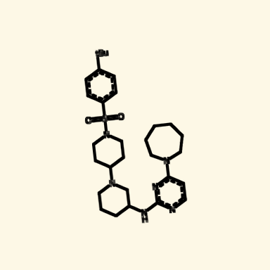 CC(C)(C)c1ccc(S(=O)(=O)N2CCC(N3CCCC(Nc4nccc(N5CCCCCC5)n4)C3)CC2)cc1